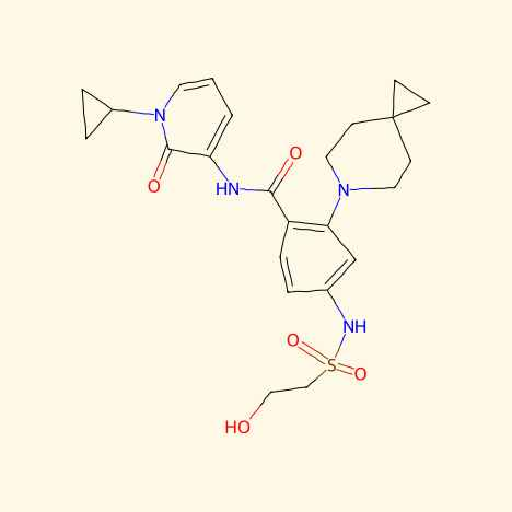 O=C(Nc1cccn(C2CC2)c1=O)c1ccc(NS(=O)(=O)CCO)cc1N1CCC2(CC1)CC2